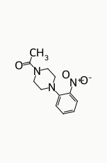 CC(=O)N1CCN(c2ccccc2[N+](=O)[O-])CC1